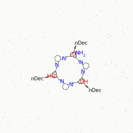 CCCCCCCCCCC#Cc1cc2c(O)c(c1)/C=N/C1CCCCC1/N=C/c1cc(C#CCCCCCCCCCC)cc(c1ON)/C=N/C1CCCCC1/N=C/c1cc(C#CCCCCCCCCCC)cc(c1O)/C=N/C1CCCCC1/N=C/2